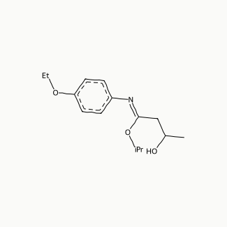 CCOc1ccc(/N=C(/CC(C)O)OC(C)C)cc1